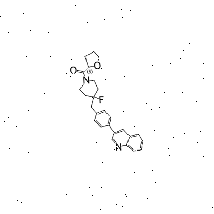 O=C([C@@H]1CCCO1)N1CCC(F)(Cc2ccc(-c3cnc4ccccc4c3)cc2)CC1